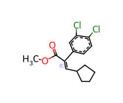 COC(=O)/C(=C/C1CCCC1)c1ccc(Cl)c(Cl)c1